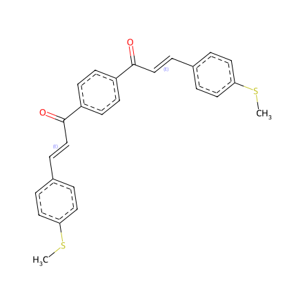 CSc1ccc(/C=C/C(=O)c2ccc(C(=O)/C=C/c3ccc(SC)cc3)cc2)cc1